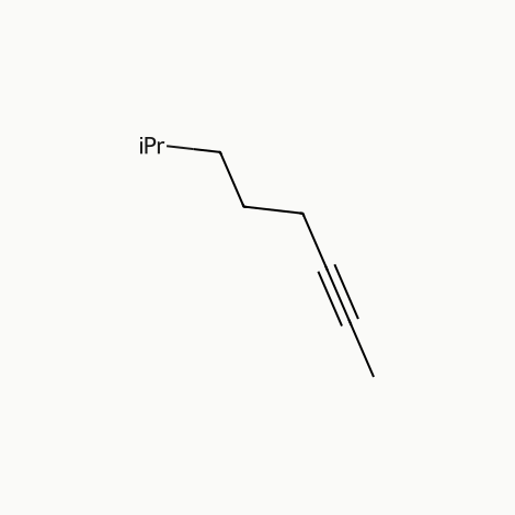 [CH2]C(C)CCCC#CC